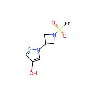 CCS(=O)(=O)N1CC(n2cc(O)cn2)C1